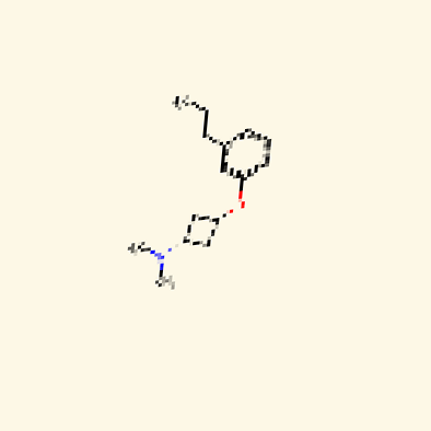 CCCc1cccc(O[C@H]2C[C@@H](N(C)C)C2)c1